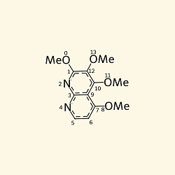 COc1nc2nccc(OC)c2c(OC)c1OC